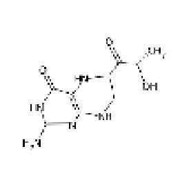 C[C@H](O)C(=O)C1CNc2nc(N)[nH]c(=O)c2N1